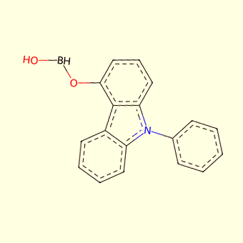 OBOc1cccc2c1c1ccccc1n2-c1ccccc1